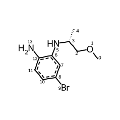 COC[C@@H](C)Nc1cc(Br)ccc1N